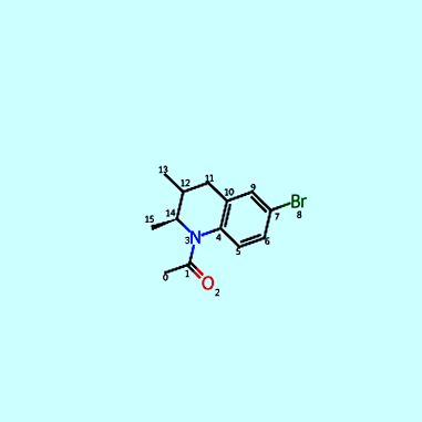 CC(=O)N1c2ccc(Br)cc2CC(C)[C@@H]1C